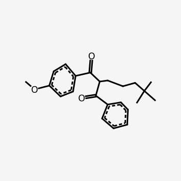 COc1ccc(C(=O)C(CCCC(C)(C)C)C(=O)c2ccccc2)cc1